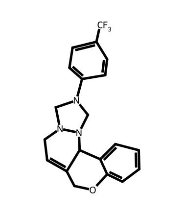 FC(F)(F)c1ccc(N2CN3CC=C4COc5ccccc5C4N3C2)cc1